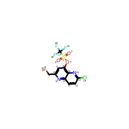 O=S(=O)(Oc1cc(CBr)nc2ccc(Cl)nc12)C(F)(F)F